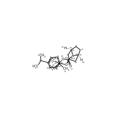 CC(C)c1ccc(O[C@H]2C[C@H]3CC[C@@H](C2)N3C(=O)OC(C)(C)C)cc1